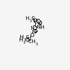 COC=Cc1cnc2c(ccn2COCC[Si](C)(C)C)c1NC1C2CC3CC(C2)CC1C3